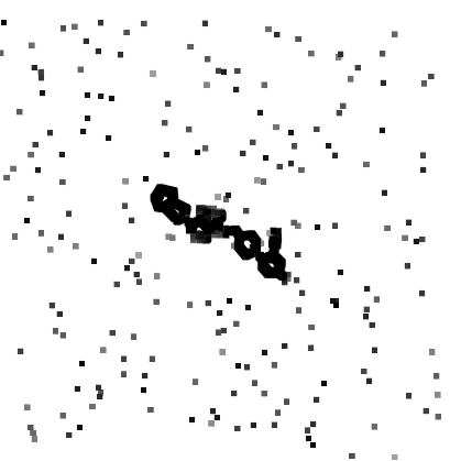 C=C(C(O)C(O)C(=O)NCC1CCN(c2ccc(F)cc2C#N)CC1)N1Cc2ccccc2C1